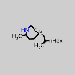 C=C(CCCCCC)C[C@H]1CCNC(C)CC1